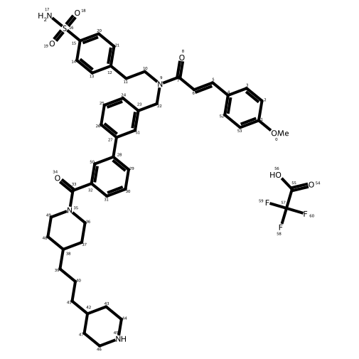 COc1ccc(C=CC(=O)N(CCc2ccc(S(N)(=O)=O)cc2)Cc2cccc(-c3cccc(C(=O)N4CCC(CCCC5CCNCC5)CC4)c3)c2)cc1.O=C(O)C(F)(F)F